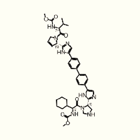 COC(=O)N[C@H](C(=O)N1CC=C[C@H]1c1ncc(-c2ccc(-c3ccc(-c4cnc([C@@H]5CNCN5C(=O)[C@@H](NC(=O)OC)C5CCCCC5)[nH]4)cc3)cc2)[nH]1)C(C)C